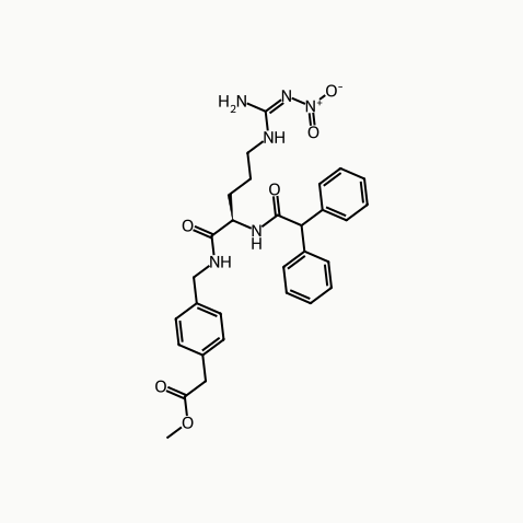 COC(=O)Cc1ccc(CNC(=O)[C@@H](CCCN/C(N)=N\[N+](=O)[O-])NC(=O)C(c2ccccc2)c2ccccc2)cc1